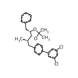 C[C@H](Cc1ccc(-c2cc(Cl)cc(Cl)c2)cc1)[C@H]1OC(C)(C)O[C@@H]1Cc1ccccc1